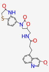 COc1cnc2cccc(CCC(=O)NCC3CN(c4ccc5c(c4)NC(=O)CS5)C(=O)O3)c2c1